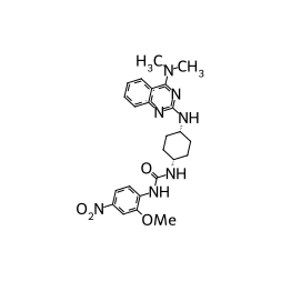 COc1cc([N+](=O)[O-])ccc1NC(=O)N[C@H]1CC[C@@H](Nc2nc(N(C)C)c3ccccc3n2)CC1